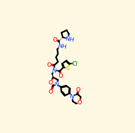 O=C(NCCCCC(=O)N(C[C@H]1CN(c2ccc(N3CCOCC3=O)cc2)C(=O)O1)C(=O)c1ccc(Cl)s1)[C@@H]1CCCN1